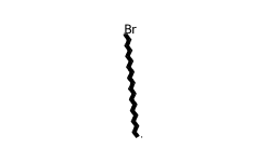 [CH2]CCCCCCCCCCCCCCCCCCCBr